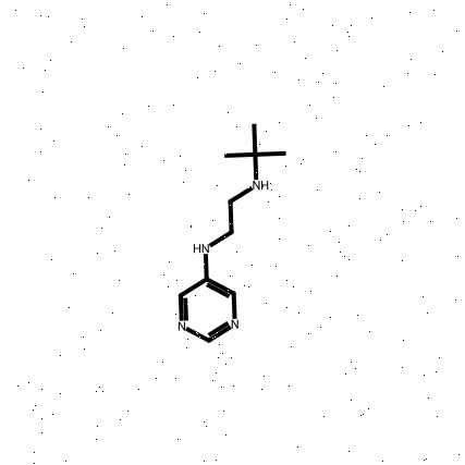 CC(C)(C)NCCNc1cncnc1